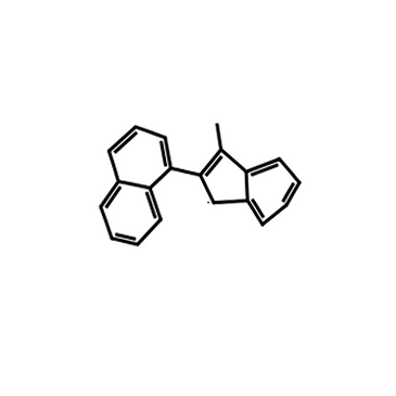 CC1=C(c2cccc3ccccc23)[CH]c2ccccc21